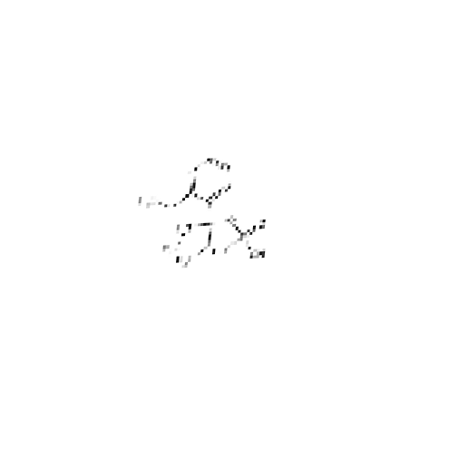 CCc1ccccc1C(CC)(NC)OP(=O)(O)O